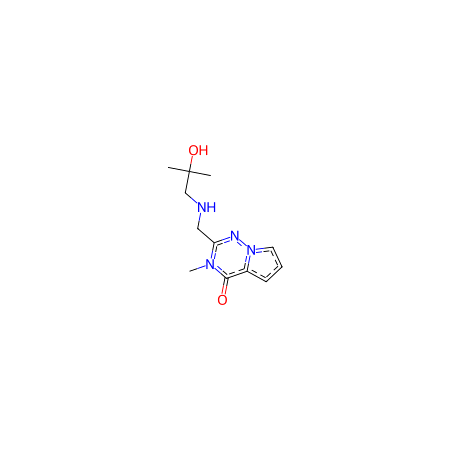 Cn1c(CNCC(C)(C)O)nn2cccc2c1=O